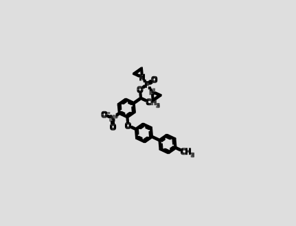 Cc1ccc(-c2ccc(Oc3cc(C(C)OP(=O)(N4CC4)N4CC4)ccc3[N+](=O)[O-])cc2)cc1